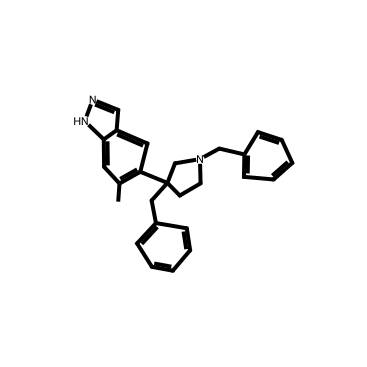 Cc1cc2[nH]ncc2cc1C1(Cc2ccccc2)CCN(Cc2ccccc2)C1